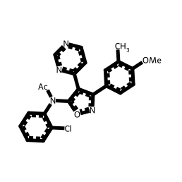 COc1ccc(-c2noc(N(C(C)=O)c3ccccc3Cl)c2-c2ccncn2)cc1C